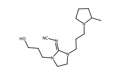 CC1CCCN1CCCN1CCN(CCCO)C1=NC#N